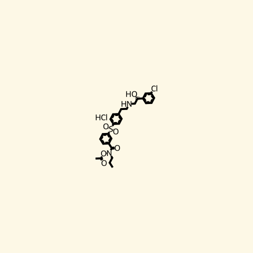 CCCN(OC(C)=O)C(=O)c1cccc(S(=O)(=O)c2ccc(CCNC[C@H](O)c3cccc(Cl)c3)cc2)c1.Cl